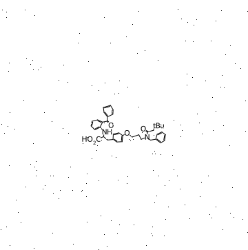 CC(C)(C)CC(=O)N(CCCOc1ccc(CC(Nc2ccccc2C(=O)c2ccccc2)C(=O)O)cc1)Cc1ccccc1